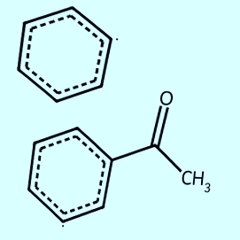 CC(=O)c1c[c]ccc1.[c]1ccccc1